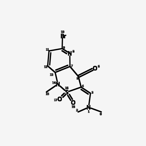 CN(C)C=C1C(=O)c2nc(Br)ccc2N(C)S1(=O)=O